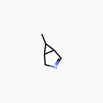 CC1C2C=NCC12